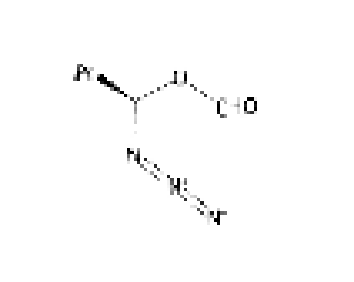 CC(C)[C@H](N=[N+]=[N-])OC=O